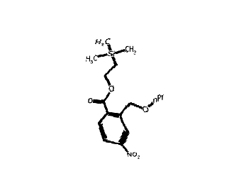 CCCOCc1cc([N+](=O)[O-])ccc1C(=O)OCC[Si](C)(C)C